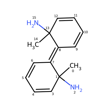 CC1(N)C=CC=CC1=C1C=CC=CC1(C)N